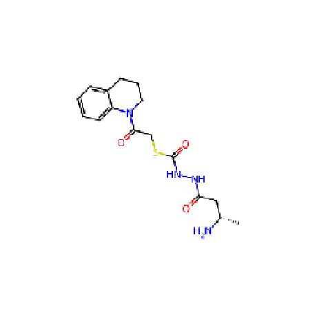 C[C@H](N)CC(=O)NNC(=O)SCC(=O)N1CCCc2ccccc21